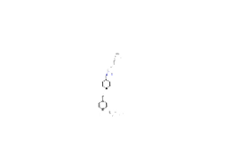 CCOCCC/N=C/c1ccc(OCc2ccc(OC)cc2)cc1